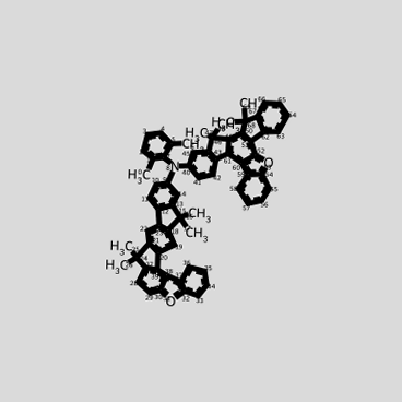 Cc1cccc(C)c1N(c1ccc2c(c1)C(C)(C)c1cc3c(cc1-2)C(C)(C)c1ccc2oc4ccccc4c2c1-3)c1ccc2c(c1)C(C)(C)c1c3c(c4oc5ccccc5c4c1-2)-c1ccccc1C3(C)C